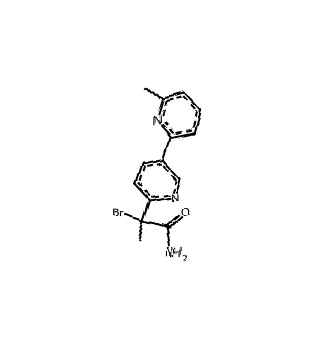 Cc1cccc(-c2ccc(C(C)(Br)C(N)=O)nc2)n1